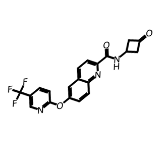 O=C1CC(NC(=O)c2ccc3cc(Oc4ccc(C(F)(F)F)cn4)ccc3n2)C1